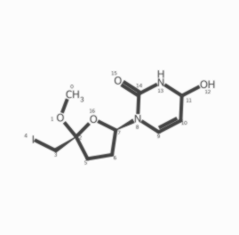 CO[C@@]1(CI)CC[C@H](N2C=CC(O)NC2=O)O1